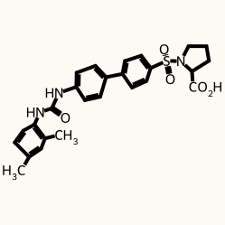 Cc1ccc(NC(=O)Nc2ccc(-c3ccc(S(=O)(=O)N4CCCC4C(=O)O)cc3)cc2)c(C)c1